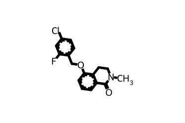 CN1CCc2c(OCc3ccc(Cl)cc3F)cccc2C1=O